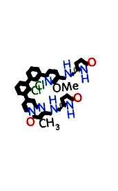 COc1nc(-c2cccc(-c3cccc(-c4ccn5c(=O)c(C)c(CNC[C@H]6CCC(=O)N6)nc5c4)c3Cl)c2Cl)ccc1CNC[C@@H]1CCC(=O)N1